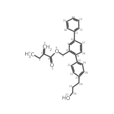 C=C(CC)C(=O)OCc1cc(-c2ccccc2)ccc1-c1ccc(CCCO)cc1